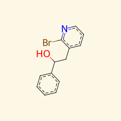 OC(Cc1cccnc1Br)c1ccccc1